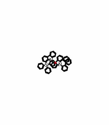 c1ccc(-c2ccccc2-n2c3cccc(-n4c5ccccc5c5cccc([Si](c6ccccc6)(c6ccccc6)c6ccccc6)c54)c3c3cccc(-c4ccccc4)c32)cc1